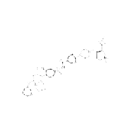 C[C@H](C[C@H](Sc1ccccc1)N1CCOCC1)Nc1ccc(S(=O)(=O)NC(=O)c2ccc(N3CCN(CC4=C(C56CC(C)(C5)C6)CC(C)(C)CC4)CC3)cc2)cc1[N+](=O)[O-]